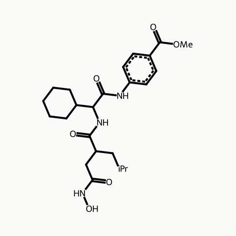 COC(=O)c1ccc(NC(=O)C(NC(=O)C(CC(=O)NO)CC(C)C)C2CCCCC2)cc1